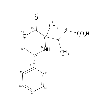 CC(CC(=O)O)C1(C)N[C@H](c2ccccc2)COC1=O